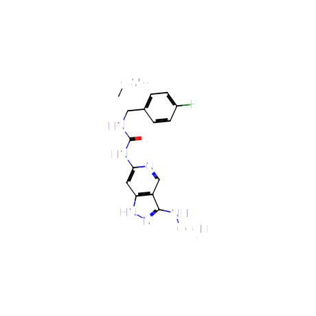 COC[C@@H](NC(=O)Nc1cc2[nH]nc(NC(=O)O)c2cn1)c1ccc(F)cc1